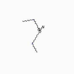 CCCCCCCC/C=C\CCCCCCCCOC(CCN(C)C)OCCCCCCCC/C=C\CCCCCCCC